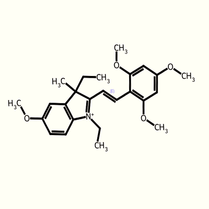 CC[N+]1=C(/C=C/c2c(OC)cc(OC)cc2OC)C(C)(CC)c2cc(OC)ccc21